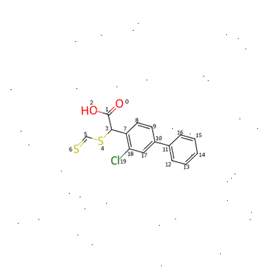 O=C(O)C(SC=S)c1ccc(-c2ccccc2)cc1Cl